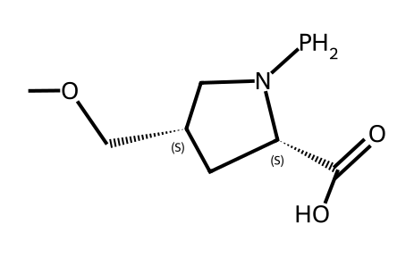 COC[C@H]1C[C@@H](C(=O)O)N(P)C1